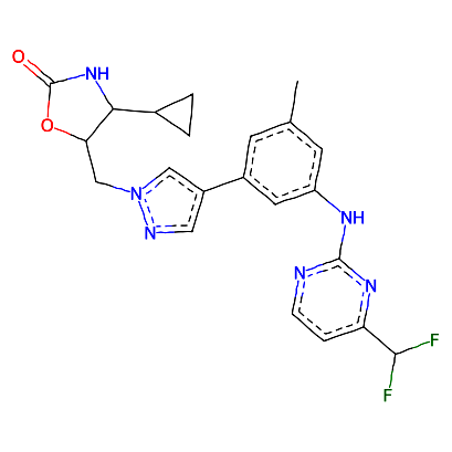 Cc1cc(Nc2nccc(C(F)F)n2)cc(-c2cnn(CC3OC(=O)NC3C3CC3)c2)c1